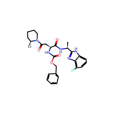 CC[C@H]1CCCCN1C(=O)C[C@H](NC(=O)OCc1ccccc1)C(=O)N[C@@H](C)c1nc2c(F)cccc2[nH]1